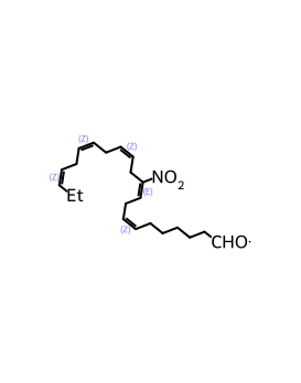 CC/C=C\C/C=C\C/C=C\C/C(=C\C/C=C\CCCCC[C]=O)[N+](=O)[O-]